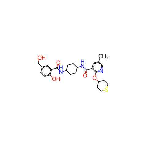 Cc1cnc(OC2CCSCC2)c(C(=O)NC2CCC(NC(=O)c3cc(CO)ccc3O)CC2)c1